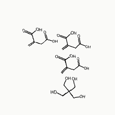 C=C(CC(=O)O)C(=O)O.C=C(CC(=O)O)C(=O)O.C=C(CC(=O)O)C(=O)O.OCC(CO)(CO)CO